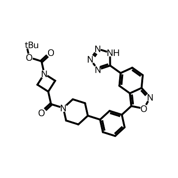 CC(C)(C)OC(=O)N1CC(C(=O)N2CCC(c3cccc(-c4onc5ccc(-c6nnn[nH]6)cc45)c3)CC2)C1